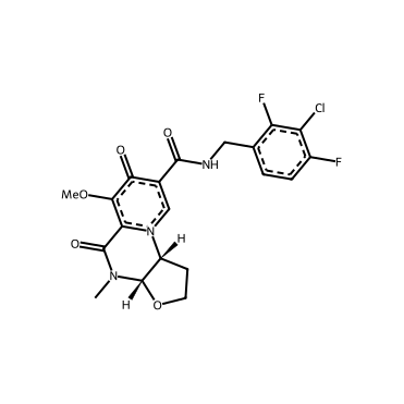 COc1c2n(cc(C(=O)NCc3ccc(F)c(Cl)c3F)c1=O)[C@@H]1CCO[C@@H]1N(C)C2=O